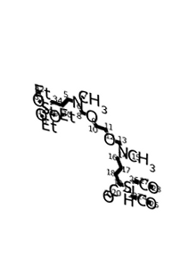 CCO[Si](CCCN(C)COCCOCN(C)CCCC(=C=O)[SiH](C=C=O)C=C=O)(OCC)OCC